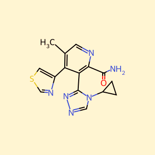 Cc1cnc(C(N)=O)c(-c2nncn2C2CC2)c1-c1cscn1